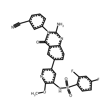 COc1ncc(-c2ccc3nc(N)n(-c4cccc(C#N)c4)c(=O)c3c2)cc1NS(=O)(=O)c1ccc(F)cc1F